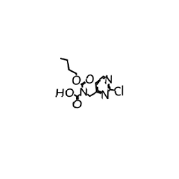 CCCCOC(=O)N(Cc1ccnc(Cl)n1)C(=O)O